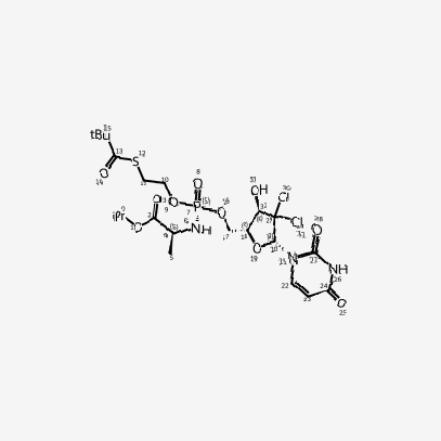 CC(C)OC(=O)[C@H](C)N[P@@](=O)(OCCSC(=O)C(C)(C)C)OC[C@H]1O[C@@H](n2ccc(=O)[nH]c2=O)C(Cl)(Cl)[C@@H]1O